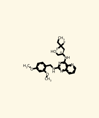 CCC(F)(F)C[C@H](CO)Nc1nc(NCc2ccc(OC)cc2OC)nc2cccnc12